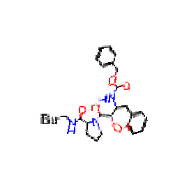 CC[C@H](C)CNC(=O)[C@@H]1CCCN1C(=O)C(O)C(Cc1ccccc1)NC(=O)OCc1ccccc1